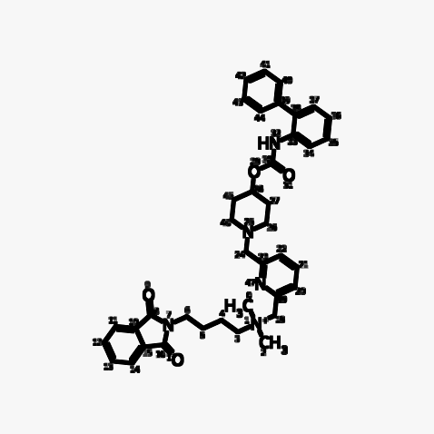 C[N+](C)(CCCCN1C(=O)c2ccccc2C1=O)Cc1cccc(CN2CCC(OC(=O)Nc3ccccc3-c3ccccc3)CC2)n1